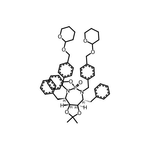 CC1(C)O[C@H]2[C@H](O1)[C@@H](Cc1ccccc1)N(Cc1ccc(COC3CCCCO3)cc1)P(=O)(Oc1ccccc1)N(Cc1ccc(COC3CCCCO3)cc1)[C@@H]2Cc1ccccc1